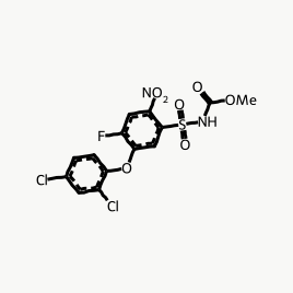 COC(=O)NS(=O)(=O)c1cc(Oc2ccc(Cl)cc2Cl)c(F)cc1[N+](=O)[O-]